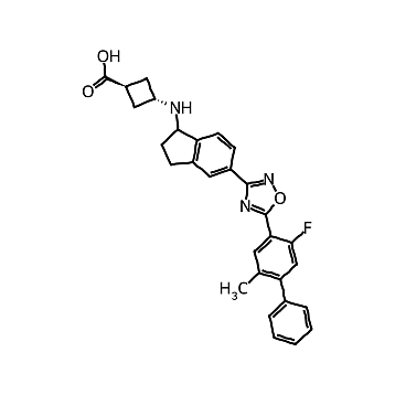 Cc1cc(-c2nc(-c3ccc4c(c3)CCC4N[C@H]3C[C@H](C(=O)O)C3)no2)c(F)cc1-c1ccccc1